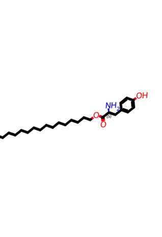 CCCCCCCCCCCCCCCCOC(=O)[C@@H](N)Cc1ccc(O)cc1